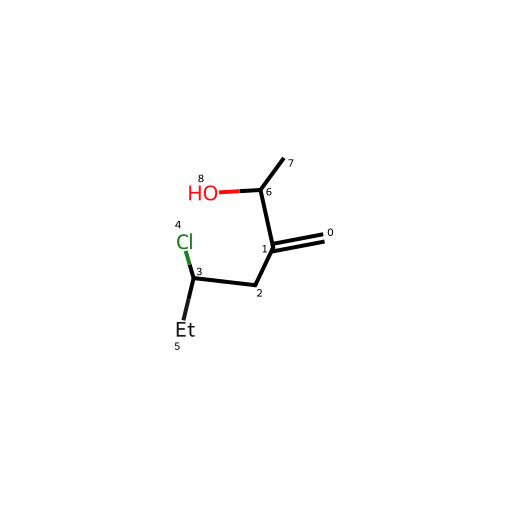 C=C(CC(Cl)CC)C(C)O